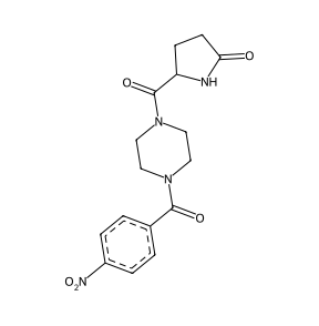 O=C1CCC(C(=O)N2CCN(C(=O)c3ccc([N+](=O)[O-])cc3)CC2)N1